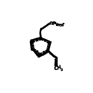 C=Cc1cccc(CCCCCC)c1